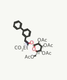 CCOC(=O)/C(=C/c1cccc(-c2ccccc2)c1)O[C@H]1O[C@@H](COC(C)=O)[C@@H](OC(C)=O)[C@@H](OC(C)=O)[C@@H]1OC(C)=O